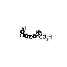 Cc1ccc(Cl)cc1-c1cccc(COc2ccc([C@H](CC(=O)O)c3ncco3)cc2)c1